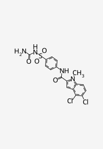 Cn1c(C(=O)Nc2ccc(S(=O)(=O)NC(N)=O)cc2)cc2c(Cl)c(Cl)ccc21